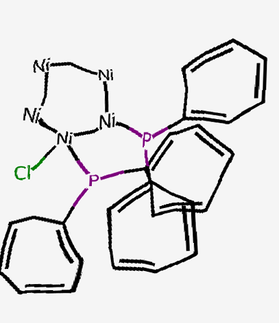 [Cl][Ni]1([P](c2ccccc2)c2ccccc2)[Ni][Ni][Ni][Ni]1[P](c1ccccc1)c1ccccc1